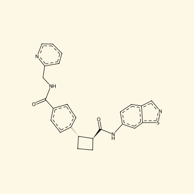 O=C(NCc1ccccn1)c1ccc([C@H]2CC[C@@H]2C(=O)Nc2ccc3cnsc3c2)cc1